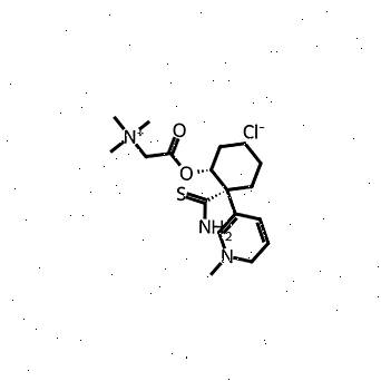 CN1C=C([C@]2(C(N)=S)CCCC[C@H]2OC(=O)C[N+](C)(C)C)C=CC1.[Cl-]